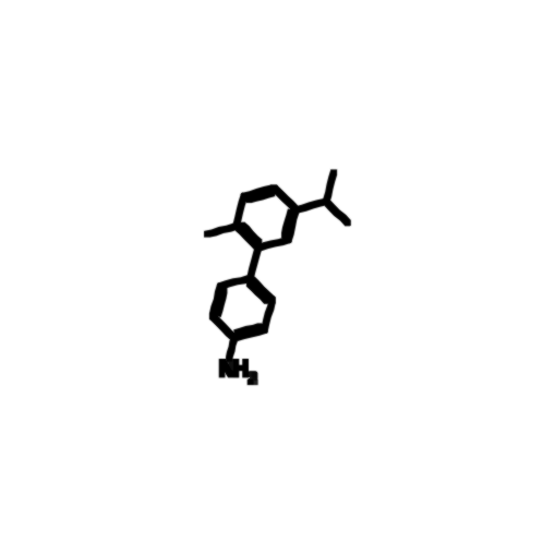 Cc1ccc(C(C)C)cc1-c1ccc(N)cc1